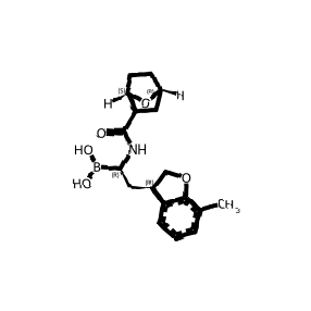 Cc1cccc2c1OC[C@@H]2C[C@H](NC(=O)C1C[C@H]2CC[C@@H]1O2)B(O)O